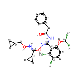 O=C(Cc1ccccc1)NC(=NOC(=NOCC1CC1)C1CC1)c1c(OC(F)F)ccc(F)c1F